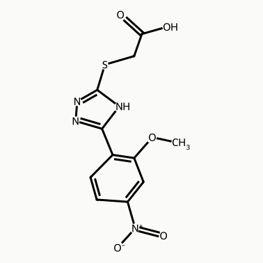 COc1cc([N+](=O)[O-])ccc1-c1nnc(SCC(=O)O)[nH]1